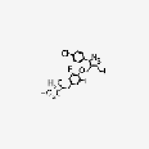 CC(Cc1cc(F)c(OCc2c(-c3ccc(Cl)cc3)nsc2CF)c(F)c1)C(=O)O